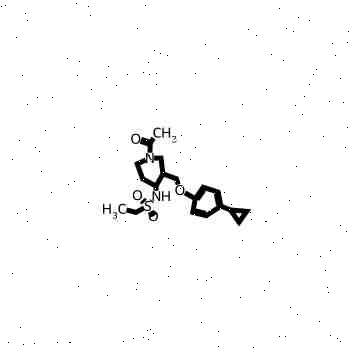 CCS(=O)(=O)NC1CCN(C(C)=O)CC1COc1ccc(C2CC2)cc1